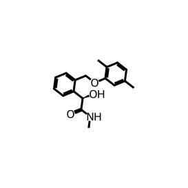 CNC(=O)[C@H](O)c1ccccc1COc1cc(C)ccc1C